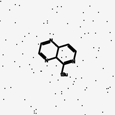 CC(C)(C)C1=NC=CC2N=CC=NC12